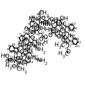 COCCN(CC(=O)N(CC(=O)N(CC(=O)NC(CO)C(=O)NC(Cc1ccc(O)cc1)C(=O)NC(CO)C(=O)NC(CCSC)C(=O)NC(CCC(=O)O)C(=O)NC(Cc1c[nH]cn1)C(=O)NC(Cc1ccccc1)C(=O)NC(CCCNC(=N)N)C(=O)NC(Cc1c[nH]c2ccccc12)C(=O)NC(CCCCN)C(=O)N1CCCC1C(=O)NC(C(=O)NCC(=O)O)C(C)C)C(C)c1ccccc1)Cc1ccccc1)C(C)=O